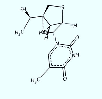 [2H][C@H](C)[C@@]12CS[C@@H]([C@H](n3cc(C)c(=O)[nH]c3=O)O1)[C@@H]2O